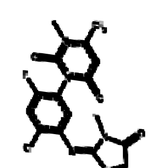 [CH2]N1C(=O)CSC1=Nc1cc(-n2c(=O)cc(C(F)(F)F)n(C)c2=O)c(F)cc1Cl